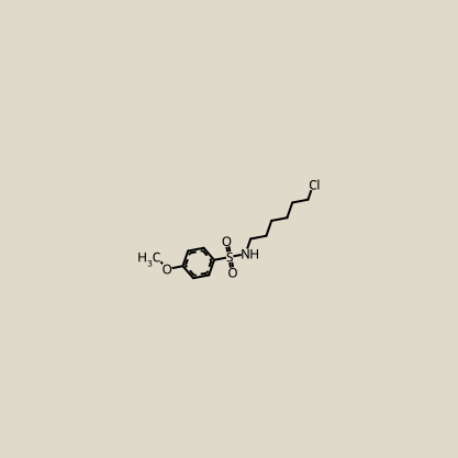 COc1ccc(S(=O)(=O)NCCCCCCCl)cc1